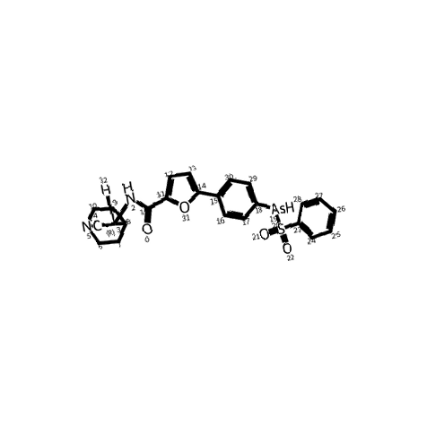 O=C(N[C@H]1CN2CCC1CC2)c1ccc(-c2ccc([AsH]S(=O)(=O)c3ccccc3)cc2)o1